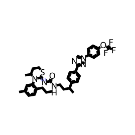 CCCc1ccc(C)cc1N1/C(=N/C(=O)NCCC(C)c2ccc(-c3ncn(-c4ccc(OC(F)(F)F)cc4)n3)cc2)SCCC1C